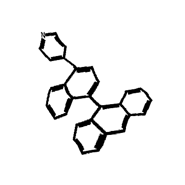 c1ccc2c(-c3ccc(-c4ccncc4)c4ccccc34)c3ccccc3cc2c1